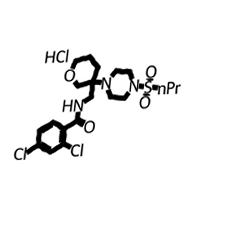 CCCS(=O)(=O)N1CCN(C2(CNC(=O)c3ccc(Cl)cc3Cl)CCCOC2)CC1.Cl